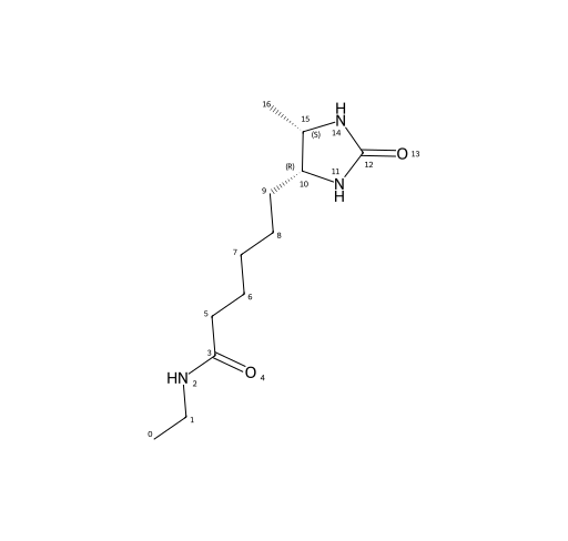 CCNC(=O)CCCCC[C@H]1NC(=O)N[C@H]1C